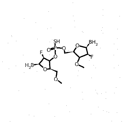 B[C@@H]1O[C@H](COP(=O)(S)OC2[C@@H](COC)O[C@@H](B)[C@H]2F)C(OC)[C@@H]1F